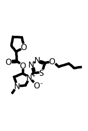 CCCCOc1nnc([N+]2([O-])CN(C)CC2OC(=O)C2CCCO2)s1